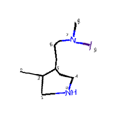 CC1CNCC1CN(C)I